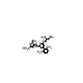 Cc1cccc(C)c1-c1cc(OC[C@H](N)CC(C)(C)C)nc(NSc2cc(C(=O)O)nn2C)n1